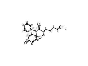 C=CCCCC1COC2(C=CC(=O)C=C2)N(c2ccccc2)C1=O